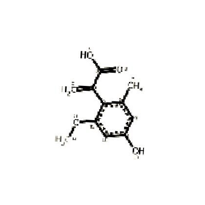 C=C(C(=O)O)c1c(C)cc(O)cc1OC